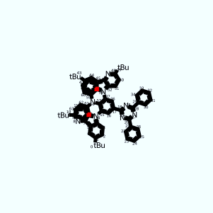 CC(C)(C)c1ccc2c(c1)c1nc(C(C)(C)C)ccc1n2-c1cc(-c2nc(-c3ccccc3)nc(-c3ccccc3)n2)cc(-n2c3ccc(C(C)(C)C)cc3c3nc(C(C)(C)C)ccc32)c1N(c1ccccc1)c1ccccc1